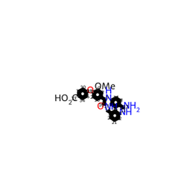 COc1cc(C(Nc2ccc(C(=N)N)cc2)C(=O)NCc2ccccc2)ccc1Oc1ccc(C(=O)O)cc1